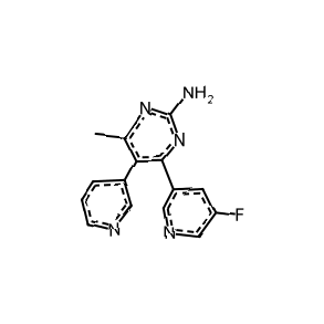 Cc1nc(N)nc(-c2cncc(F)c2)c1-c1cccnc1